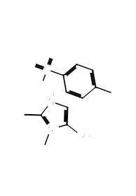 CCCCc1c[nH]c(C)[n+]1C.Cc1ccc(S(=O)(=O)[O-])cc1